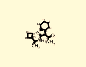 C=C(Nc1sc2c(c1C(N)=O)CCCC2)C1CCC1